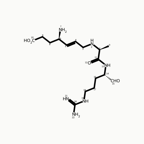 C[C@H](NCC=C[C@H](N)CCC(=O)O)C(=O)N[C@H](C=O)CCCNC(=N)N